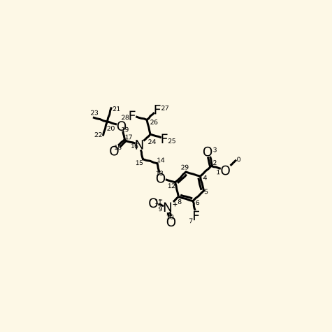 COC(=O)c1cc(F)c([N+](=O)[O-])c(OCCN(C(=O)OC(C)(C)C)C(F)C(F)F)c1